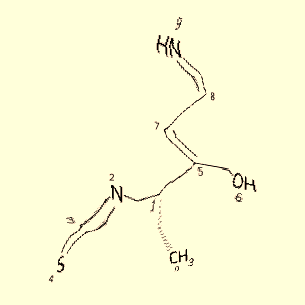 C[C@H](N=C=S)/C(O)=C/C=N